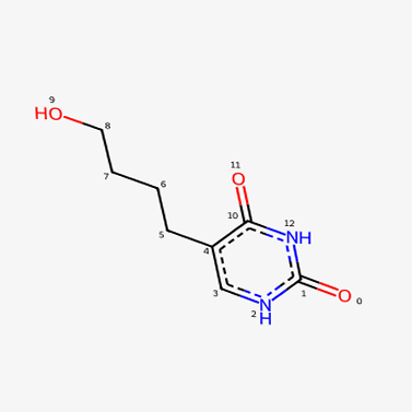 O=c1[nH]cc(CCCCO)c(=O)[nH]1